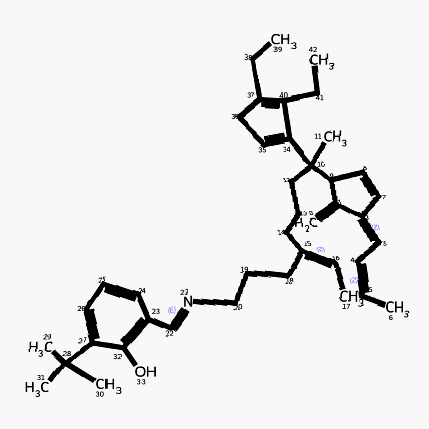 C=C1/C(=C\C=C/C)C=CC1C(C)(CCC/C(=C/C)CCC/N=C/c1cccc(C(C)(C)C)c1O)C1=CCC(CC)=C1CC